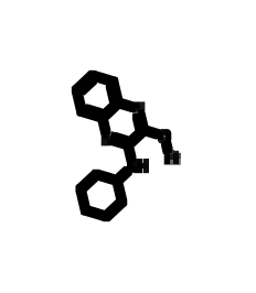 CCOc1nc2ccccc2nc1NC1CCCCC1